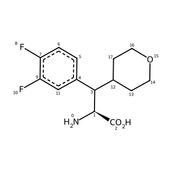 N[C@H](C(=O)O)C(c1ccc(F)c(F)c1)C1CCOCC1